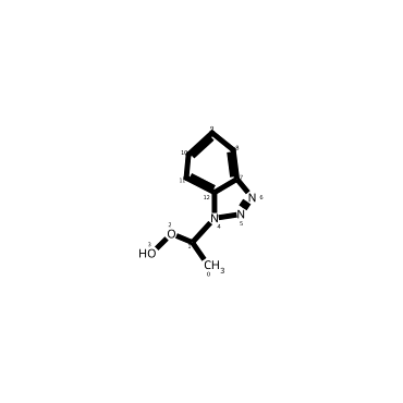 CC(OO)n1nnc2ccccc21